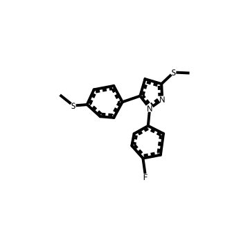 CSc1ccc(-c2cc(SC)nn2-c2ccc(F)cc2)cc1